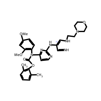 COc1ccc(N(C(=O)Oc2c(C)cccc2C)c2ccnc(N/C(C=N)=C/NCCN3CCOCC3)n2)c(OC)c1